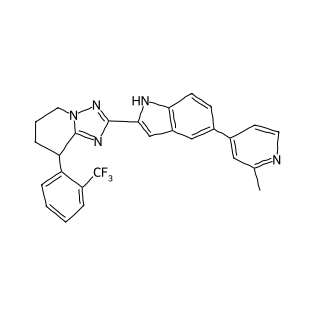 Cc1cc(-c2ccc3[nH]c(-c4nc5n(n4)CCCC5c4ccccc4C(F)(F)F)cc3c2)ccn1